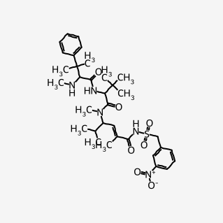 CNC(C(=O)NC(C(=O)N(C)C(C=C(C)C(=O)NS(=O)(=O)Cc1cccc([N+](=O)[O-])c1)C(C)C)C(C)(C)C)C(C)(C)c1ccccc1